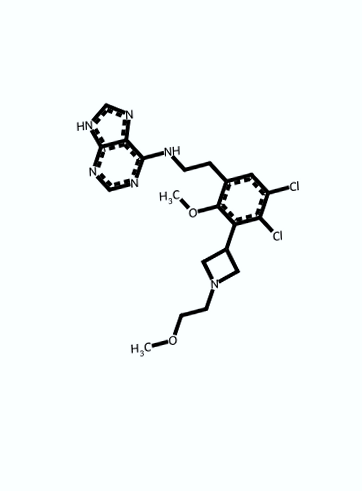 COCCN1CC(c2c(Cl)c(Cl)cc(CCNc3ncnc4[nH]cnc34)c2OC)C1